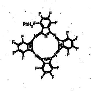 Fc1c(F)c(F)c2c(c1F)-c1nc-2nc2[nH]c(nc3nc(nc4[nH]c(n1)c1c(F)c(F)c(F)c(F)c41)-c1c(F)c(F)c(F)c(F)c1-3)c1c(F)c(F)c(F)c(F)c21.[PbH2]